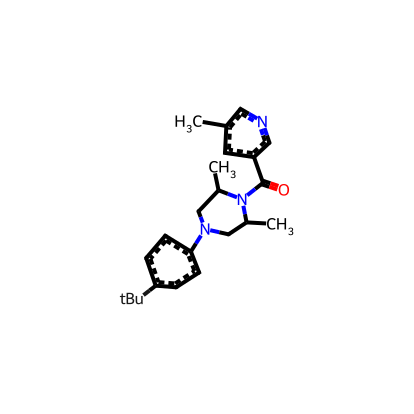 Cc1cncc(C(=O)N2C(C)CN(c3ccc(C(C)(C)C)cc3)CC2C)c1